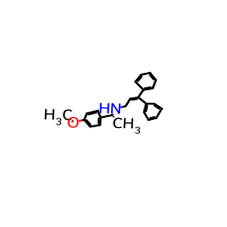 COc1ccc([C@@H](C)NCC=C(c2ccccc2)c2ccccc2)cc1